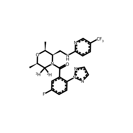 [2H]C1([2H])[C@@H](C)O[C@@H](C)[C@@H](CNc2ccc(C(F)(F)F)cn2)N1C(=O)c1cc(F)ccc1-n1nccn1